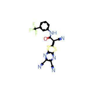 N#CC(C(=O)Nc1cccc(C(F)(F)F)c1)=C1Sc2nc(C#N)c(C#N)nc2S1